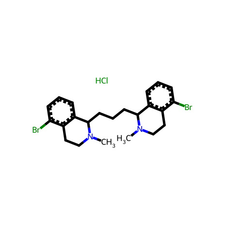 CN1CCc2c(Br)cccc2C1CCCC1c2cccc(Br)c2CCN1C.Cl